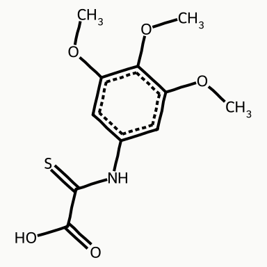 COc1cc(NC(=S)C(=O)O)cc(OC)c1OC